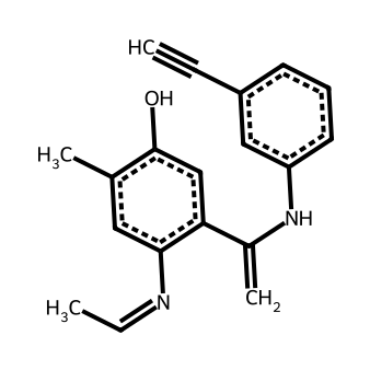 C#Cc1cccc(NC(=C)c2cc(O)c(C)cc2/N=C\C)c1